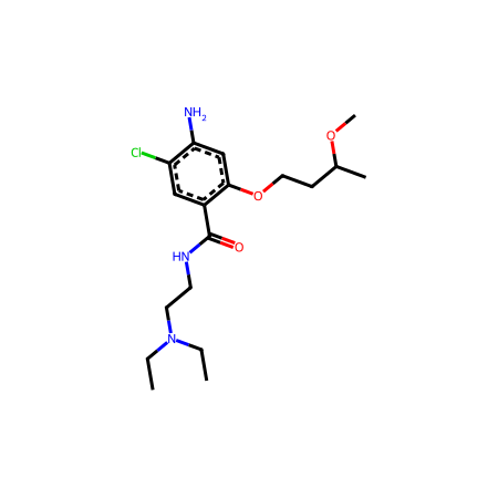 CCN(CC)CCNC(=O)c1cc(Cl)c(N)cc1OCCC(C)OC